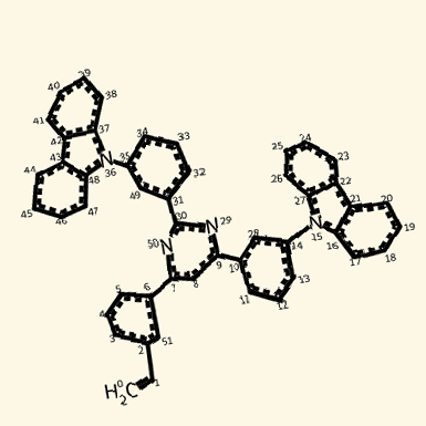 C=Cc1cccc(-c2cc(-c3cccc(-n4c5ccccc5c5ccccc54)c3)nc(-c3cccc(-n4c5ccccc5c5ccccc54)c3)n2)c1